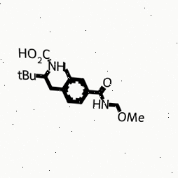 COCNC(=O)c1ccc(CC(NC(=O)O)C(C)(C)C)c(I)c1